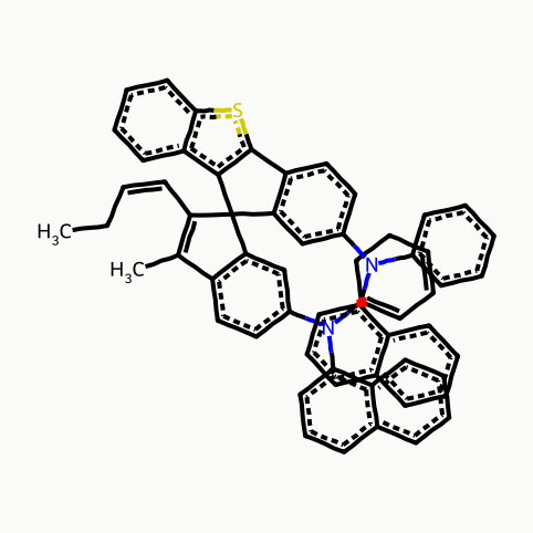 CC/C=C\C1=C(C)c2ccc(N(C3=CC=CCC3)c3cccc4ccccc34)cc2C12c1cc(N(c3ccccc3)c3cccc4ccccc34)ccc1-c1sc3ccccc3c12